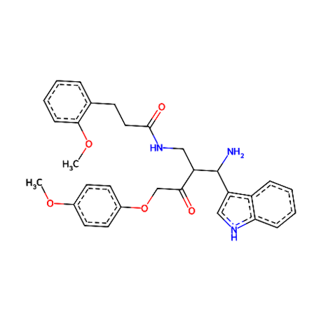 COc1ccc(OCC(=O)C(CNC(=O)CCc2ccccc2OC)C(N)c2c[nH]c3ccccc23)cc1